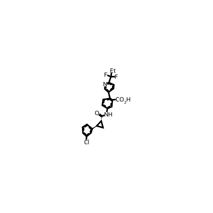 CCC(F)(F)c1ccc(-c2ccc(NC(=O)[C@@H]3C[C@H]3c3cccc(Cl)c3)cc2C(=O)O)cn1